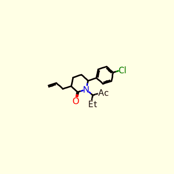 C=CCC1CCC(c2ccc(Cl)cc2)N(C(CC)C(C)=O)C1=O